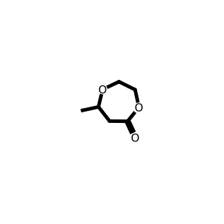 CC1CC(=O)OCCO1